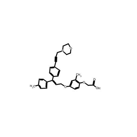 Cc1ccc(C(=CCOc2ccc(OCC(=O)O)c(C)c2)c2ccc(C#CCN3CCOCC3)cc2)cc1